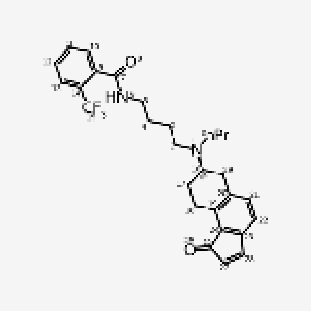 CCCN(CCCCNC(=O)c1ccccc1C(F)(F)F)[C@@H]1CCc2c(ccc3c2C(=O)C=C3)C1